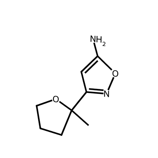 CC1(c2cc(N)on2)CCCO1